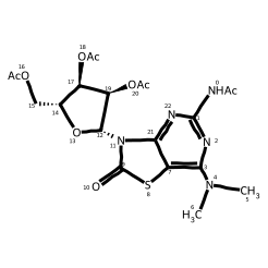 CC(=O)Nc1nc(N(C)C)c2sc(=O)n([C@@H]3O[C@H](COC(C)=O)[C@@H](OC(C)=O)[C@H]3OC(C)=O)c2n1